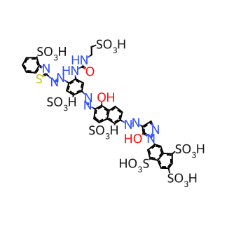 O=C(NCCS(=O)(=O)O)Nc1cc(N=Nc2ccc3c(S(=O)(=O)O)c(N=Nc4cnn(-c5cc(S(=O)(=O)O)c6cc(S(=O)(=O)O)cc(S(=O)(=O)O)c6c5)c4O)ccc3c2O)c(S(=O)(=O)O)cc1N=Nc1nc2c(S(=O)(=O)O)cccc2s1